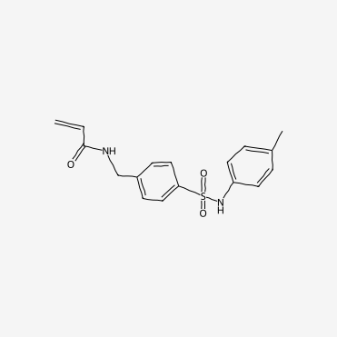 C=CC(=O)NCc1ccc(S(=O)(=O)Nc2ccc(C)cc2)cc1